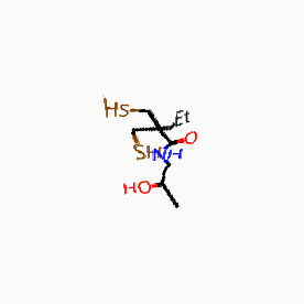 CCC(CS)(CS)C(=O)NCC(C)O